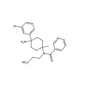 CC1(N(CCC(=O)O)C(=O)c2cccnc2)CCC(N)(c2cccc(Cl)c2)CC1